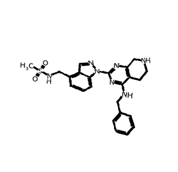 CS(=O)(=O)NCc1cccc2c1cnn2-c1nc2c(c(NCc3ccccc3)n1)CCNC2